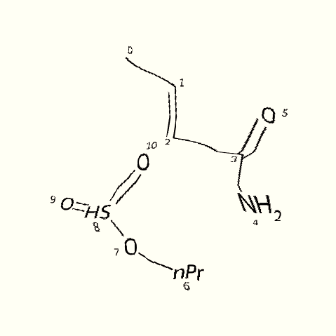 CC=CC(N)=O.CCCO[SH](=O)=O